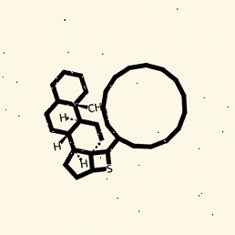 C[C@]12CCCCC1CC[C@H]1[C@@H]3CCC4SC(C5CCCCCCCCCCCCCC5)[C@@]43CC[C@@H]12